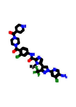 Cn1c(-c2cn(-c3cc(Cl)c(N)cn3)nc2C(F)(F)F)cnc1C(=O)Nc1ccc(C(=O)N2CCN(C(=O)C3CCNCC3)CC2)c(Cl)c1